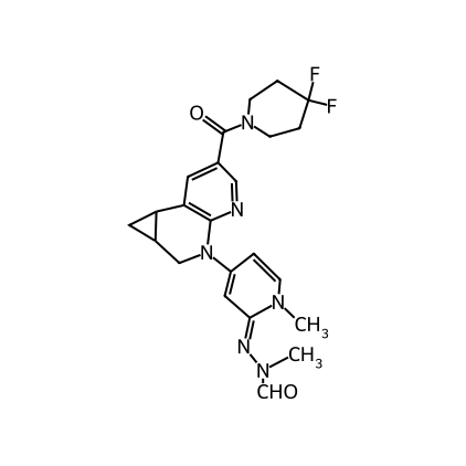 CN(C=O)/N=c1/cc(N2CC3CC3c3cc(C(=O)N4CCC(F)(F)CC4)cnc32)ccn1C